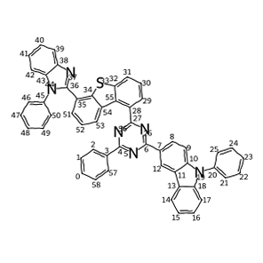 c1ccc(-c2nc(-c3ccc4c(c3)c3ccccc3n4-c3ccccc3)nc(-c3cccc4sc5c(-c6nc7ccccc7n6-c6ccccc6)cccc5c34)n2)cc1